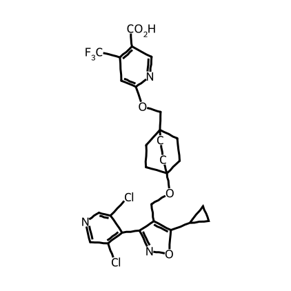 O=C(O)c1cnc(OCC23CCC(OCc4c(-c5c(Cl)cncc5Cl)noc4C4CC4)(CC2)CC3)cc1C(F)(F)F